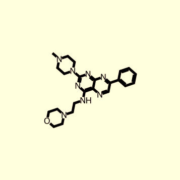 CN1CCN(c2nc(NCCN3CCOCC3)c3ncc(-c4ccccc4)nc3n2)CC1